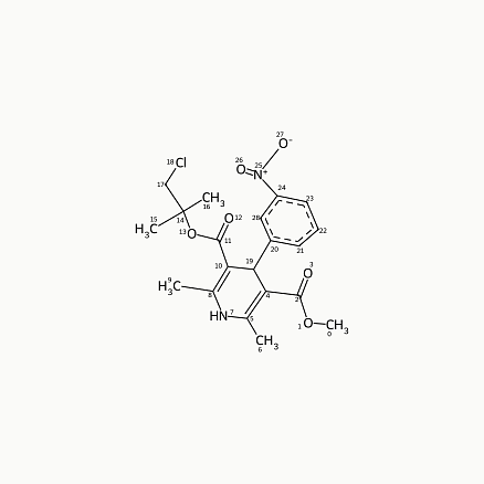 COC(=O)C1=C(C)NC(C)=C(C(=O)OC(C)(C)CCl)C1c1cccc([N+](=O)[O-])c1